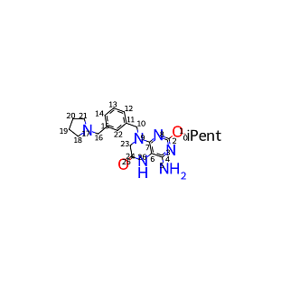 CCC[C@@H](C)Oc1nc(N)c2c(n1)N(Cc1cccc(CN3CCCC3)c1)CC(=O)N2